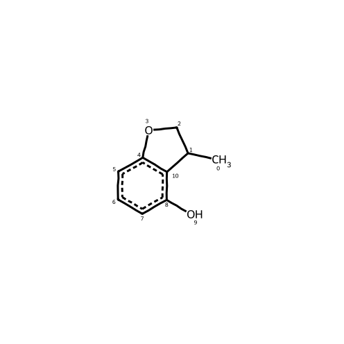 CC1COc2cccc(O)c21